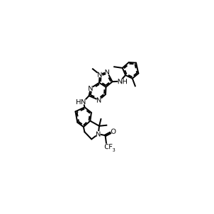 Cc1cccc(C)c1Nc1nn(C)c2nc(Nc3ccc4c(c3)C(C)(C)N(C(=O)C(F)(F)F)CC4)ncc12